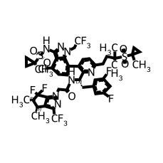 C[C@@H]1c2c(C(F)(F)F)nn(CC(=O)N[C@@H](Cc3cc(F)cc(F)c3)c3nc(CCC(C)(C)S(=O)(=O)C4(C)CC4)ccc3-c3ccc(Cl)c4c(NS(=O)(=O)C5(C)CC5)nn(CC(F)(F)F)c34)c2C(F)(F)[C@@H]1C